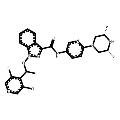 CC(On1nc(C(=O)Nc2ccc(N3C[C@@H](C)N[C@@H](C)C3)nc2)c2ccccc21)c1c(Cl)cncc1Cl